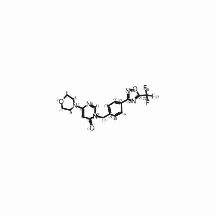 O=c1cc(N2CCOCC2)ncn1Cc1ccc(-c2noc(C(F)(F)F)n2)cc1